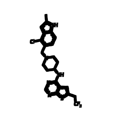 Cc1cc2c(Cl)c(CN3CCC(Nc4ncnc5sc(CC(F)(F)F)cc45)CC3)ccc2[nH]1